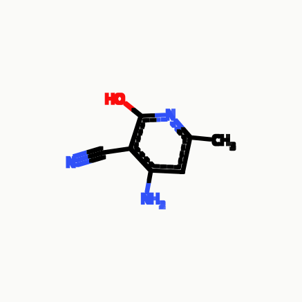 Cc1cc(N)c(C#N)c(O)n1